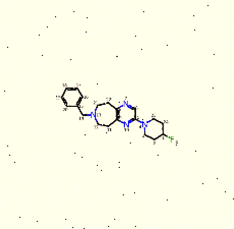 FC1CCN(c2cnc3c(n2)CCN(Cc2ccccc2)CC3)CC1